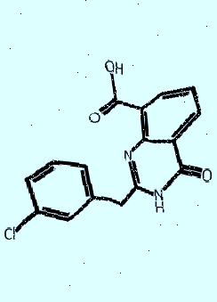 O=C(O)c1cccc2c(=O)[nH]c(Cc3cccc(Cl)c3)nc12